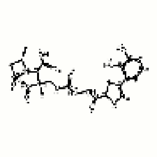 C[C@@H]1CC(=O)N1[C@@H](C(=O)O)[C@](C)(COC(=O)NNC(=O)C1CC(c2cccc(O)c2O)=NO1)[SH](=O)=O